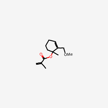 C=C(C)C(=O)OC1(C)CCCC=C1COC